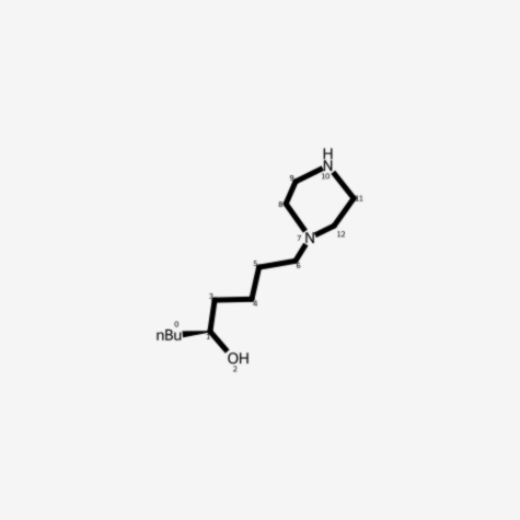 CCCC[C@H](O)CCCCN1CCNCC1